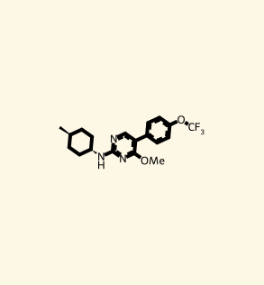 COc1nc(N[C@H]2CC[C@H](C)CC2)ncc1-c1ccc(OC(F)(F)F)cc1